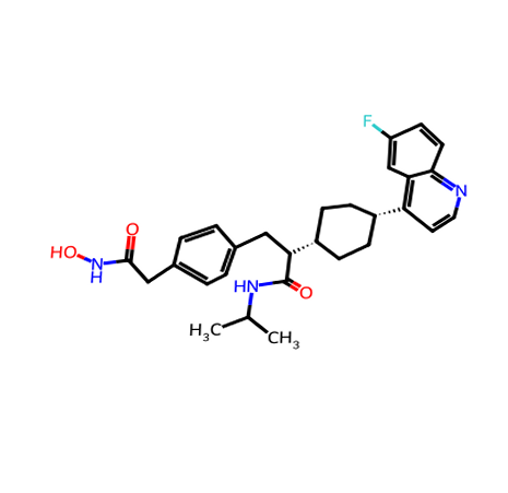 CC(C)NC(=O)C(Cc1ccc(CC(=O)NO)cc1)[C@H]1CC[C@@H](c2ccnc3ccc(F)cc32)CC1